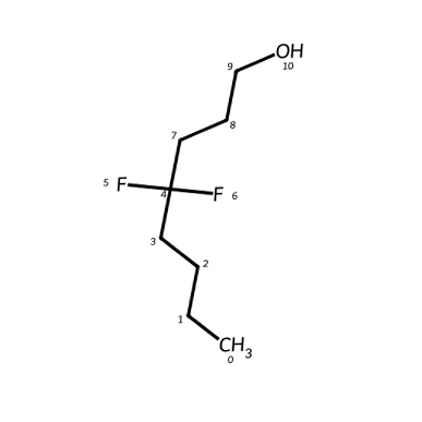 CCCCC(F)(F)CCCO